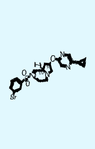 O=S(=O)(c1cccc(Br)c1)N1CCN2C[C@H](Oc3cnc(C4CC4)cn3)C[C@H]2C1